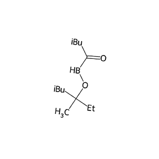 CCC(C)C(=O)BOC(C)(CC)C(C)CC